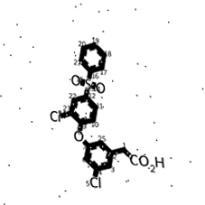 O=C(O)Cc1cc(Cl)cc(Oc2ccc(S(=O)(=O)c3ccccc3)cc2Cl)c1